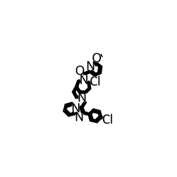 COc1ccc(Cl)c(C(=O)N2CCC3CC(CCN3Cc3c(-c4ccc(Cl)cc4)nc4ccccn34)C2)n1